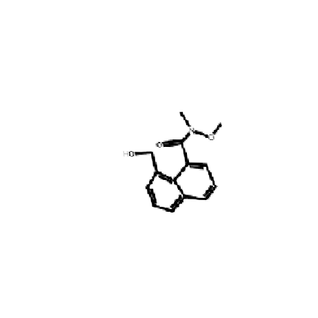 CON(C)C(=O)c1cccc2cccc(CO)c12